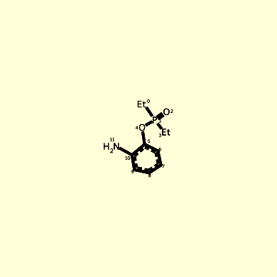 CCP(=O)(CC)Oc1ccccc1N